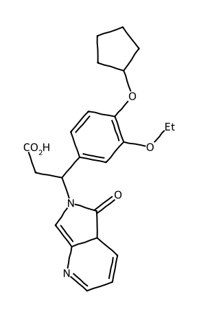 CCOc1cc(C(CC(=O)O)N2C=C3N=CC=CC3C2=O)ccc1OC1CCCC1